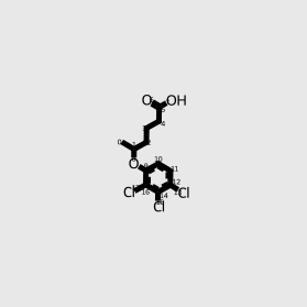 CC(CCCC(=O)O)Oc1ccc(Cl)c(Cl)c1Cl